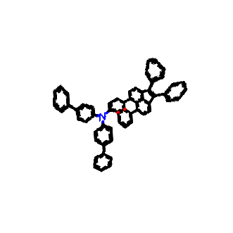 c1ccc(C2=C(c3ccccc3)c3ccc(-c4ccc(N(c5ccc(-c6ccccc6)cc5)c5ccc(-c6ccccc6)cc5)cc4)c4c(-c5ccccc5)ccc2c34)cc1